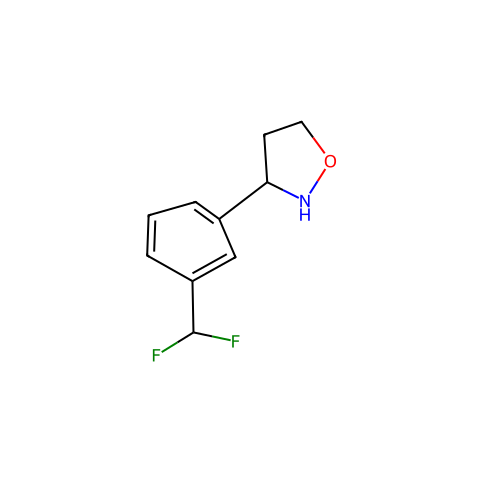 FC(F)c1cccc(C2CCON2)c1